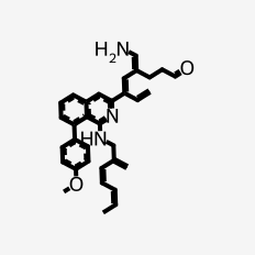 C=C/C(=C\C(=C/N)CCC=O)c1cc2cccc(-c3ccc(OC)cc3)c2c(NCC(=C)/C=C\C=C/C)n1